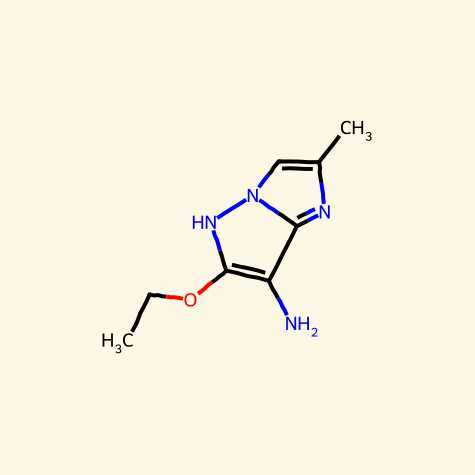 CCOc1[nH]n2cc(C)nc2c1N